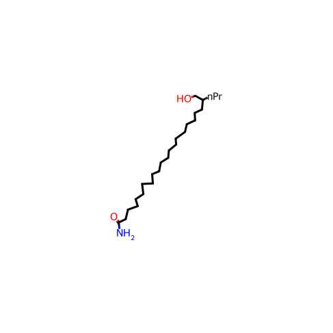 CCCC(CO)CCCCCCCCCCCCCCCCCCCC(N)=O